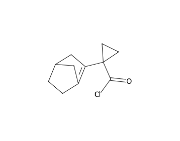 O=C(Cl)C1(C2=C3CCC(C3)C2)CC1